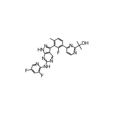 Cc1ccc(-c2ccnc(C(C)(C)O)n2)c(F)c1-c1n[nH]c2nc(Nc3ncc(F)cc3F)ncc12